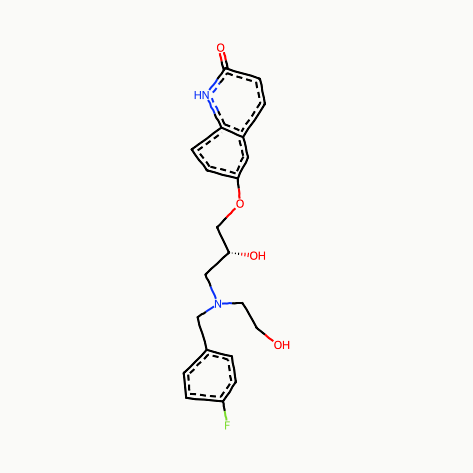 O=c1ccc2cc(OC[C@H](O)CN(CCO)Cc3ccc(F)cc3)ccc2[nH]1